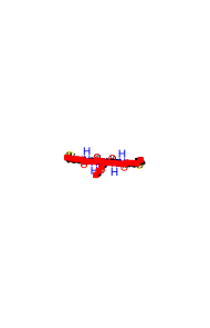 CCCOCCN(CCC(=O)NCCNC(=O)CCCCC1CCCS1)CCC(=O)NCCNC(=O)CCCCC1CCSS1